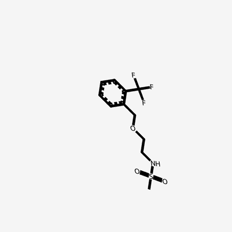 CS(=O)(=O)NCCOCc1ccccc1C(F)(F)F